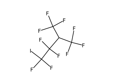 FC(F)(F)C(C(F)(F)F)C(F)(F)C(F)(F)I